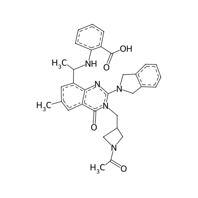 CC(=O)N1CC(Cn2c(N3Cc4ccccc4C3)nc3c(C(C)Nc4ccccc4C(=O)O)cc(C)cc3c2=O)C1